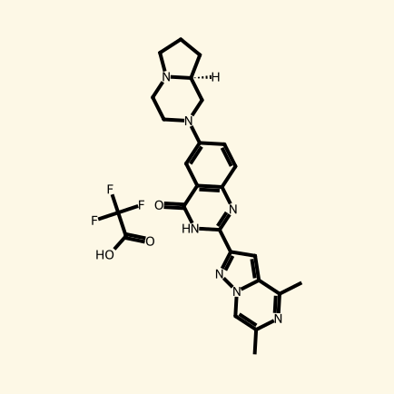 Cc1cn2nc(-c3nc4ccc(N5CCN6CCC[C@H]6C5)cc4c(=O)[nH]3)cc2c(C)n1.O=C(O)C(F)(F)F